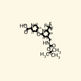 CC(C)(C)OC(=O)NCc1cc(Oc2ccnc(C(=O)O)c2)nc(C(F)(F)F)c1